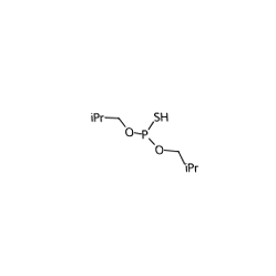 CC(C)COP(S)OCC(C)C